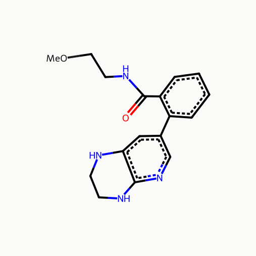 COCCNC(=O)c1ccccc1-c1cnc2c(c1)NCCN2